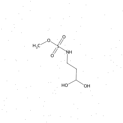 COS(=O)(=O)NCCC(O)O